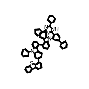 c1ccc(C2=NC(c3ccccc3)NC(c3ccc(-c4ccccc4)cc3-n3c4ccccc4c4c(-c5cccc6c5c5ccc(-c7cccc8c7sc7ccccc78)cc5n6-c5ccccc5)cccc43)=N2)cc1